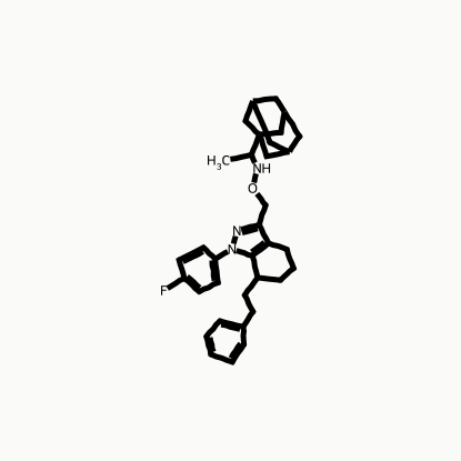 CC(NOCc1nn(-c2ccc(F)cc2)c2c1CCCC2CCc1ccccc1)C12CC3CC(CC(C3)C1)C2